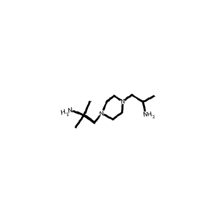 CC(N)CN1CCN(CC(C)(C)N)CC1